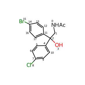 CC(=O)NCC(O)(c1ccc(Cl)cc1)c1ccc(Br)cc1